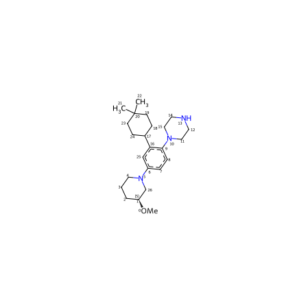 CO[C@H]1CCCN(c2ccc(N3CCNCC3)c(C3CCC(C)(C)CC3)c2)C1